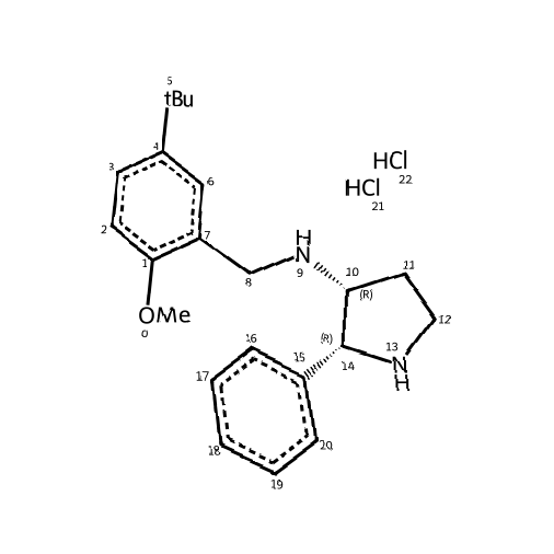 COc1ccc(C(C)(C)C)cc1CN[C@@H]1CCN[C@@H]1c1ccccc1.Cl.Cl